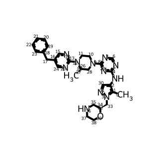 Cc1c(Nc2ncnc(N3CCN(c4ncc(Cc5ccccc5)cn4)[C@H](C)C3)n2)cnn1C[C@@H]1CNCCO1